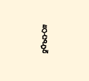 CCC1CCC(c2ccc(OCc3ccc(C#N)cc3)cc2)CC1